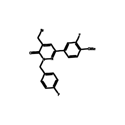 COc1ccc(-c2cc(CBr)c(=O)n(Cc3ccc(F)cc3)n2)cc1F